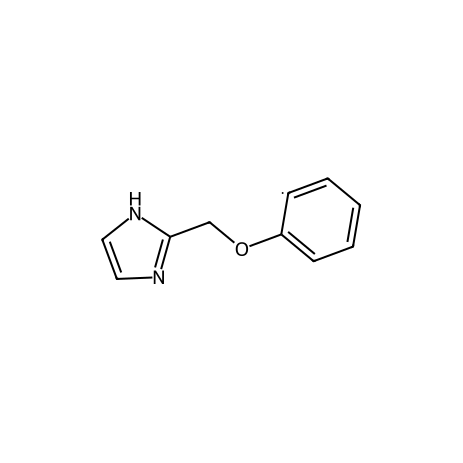 [c]1ccccc1OCc1ncc[nH]1